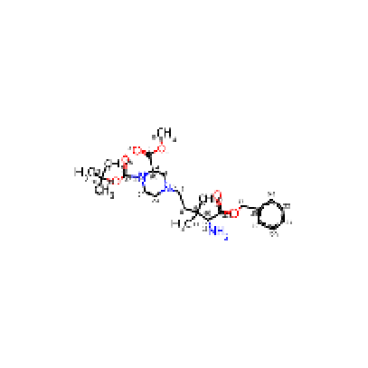 COC(=O)[C@H]1CN(CCC(C)(C)[C@@H](N)C(=O)OCc2ccccc2)CCN1C(=O)OC(C)(C)C